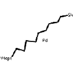 CCCCCCCCCCCCCCCCS.[Pd]